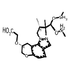 C[SiH2]OC(O[SiH2]C)C(C)(C)[C@@H](C)Cn1ncc2ccc3c(c21)C[C@@H](OCC(=O)O)CO3